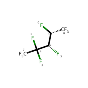 F[C@@H]([C@H](F)C(F)(F)C(F)(F)F)C(F)(F)F